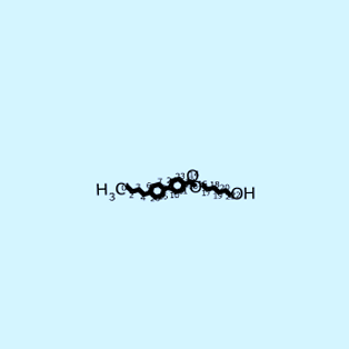 CCCCCC1CCC(C2CCC(C(=O)OCCCCCCO)CC2)CC1